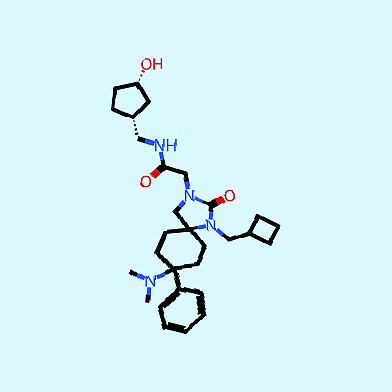 CN(C)C1(c2ccccc2)CCC2(CC1)CN(CC(=O)NC[C@@H]1CC[C@H](O)C1)C(=O)N2CC1CCC1